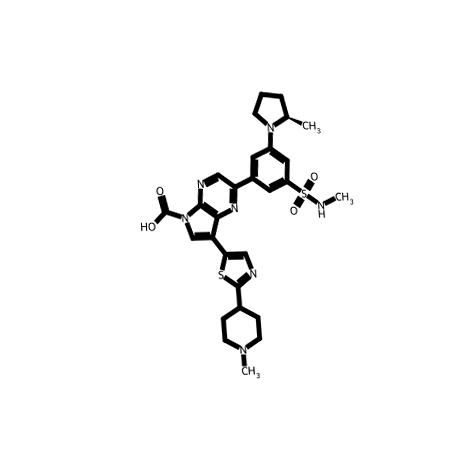 CNS(=O)(=O)c1cc(-c2cnc3c(n2)c(-c2cnc(C4CCN(C)CC4)s2)cn3C(=O)O)cc(N2CCC[C@H]2C)c1